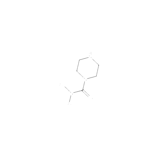 CC(=O)N(C(C)=O)C(=O)N1CCNCC1